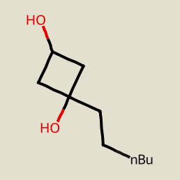 CCCCCCC1(O)CC(O)C1